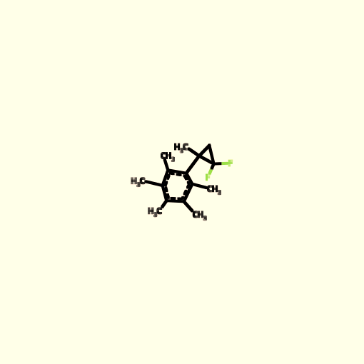 Cc1c(C)c(C)c(C2(C)CC2(F)F)c(C)c1C